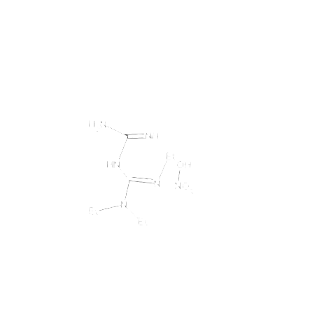 CC/N=C(\NC(=N)N)N(CC)CC.O=[N+]([O-])O